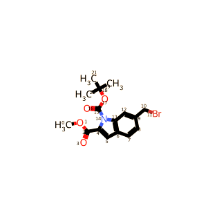 COC(=O)c1cc2ccc(CBr)cc2n1C(=O)OC(C)(C)C